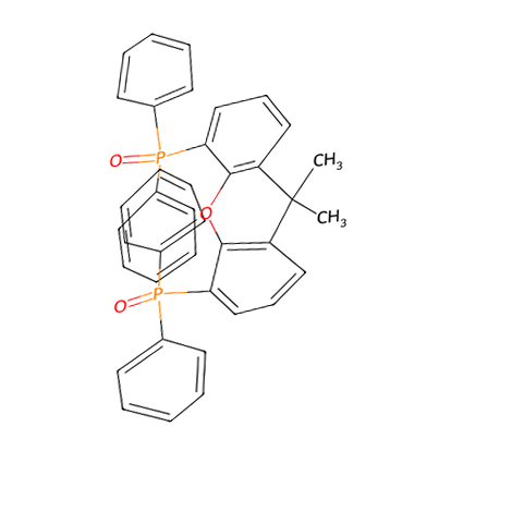 CC1(C)c2cccc(P(=O)(c3ccccc3)c3ccccc3)c2Oc2c1cccc2P(=O)(c1ccccc1)c1ccccc1